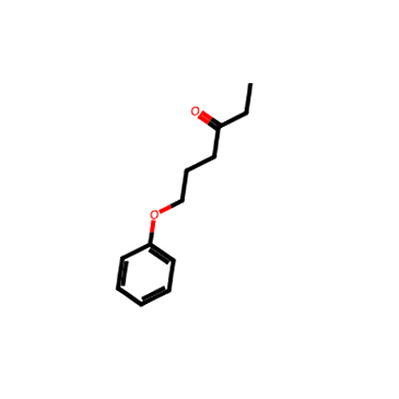 CCC(=O)CCCOc1ccccc1